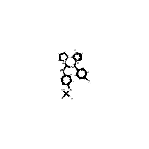 O=C(Nc1ccc(OC(F)(F)F)cc1)N1CCC[C@@H]1c1nccn1Cc1ccc(Cl)cc1